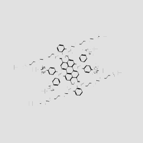 COCCOCCOCCOc1cccc(OCCOCCOCCOC)c1N1C(=O)c2cc(Oc3ccc(S(=O)(=O)O)cc3)c3c4c(Oc5ccc(S(=O)(=O)O)cc5)cc5c6c(cc(Oc7ccc(S(=O)(=O)O)cc7)c(c7c(Oc8ccc(S(=O)(=O)O)cc8)cc(c2c37)C1=O)c64)C(=O)N(c1c(OCCOCCOCCOC)cccc1OCCOCCOCCOC)C5=O